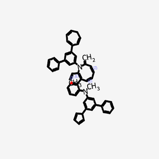 C=C1\C=C/C=C\C(c2ccccc2N(C)c2cc(-c3ccccc3)cc(C3C=CC=C3)c2)=C(\C=C/C)N1c1cc(C2=CC=CCC=C2)cc(-c2ccccc2)c1